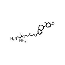 COc1ccc(C2=Cc3ccc(OCCSCCOC(=O)C(N)CN)cc3CCC2)c(C)c1